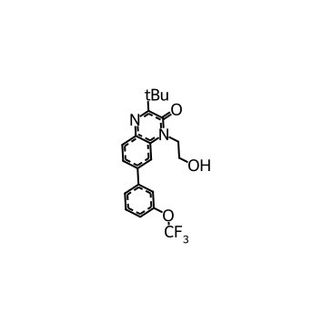 CC(C)(C)c1nc2ccc(-c3cccc(OC(F)(F)F)c3)cc2n(CCO)c1=O